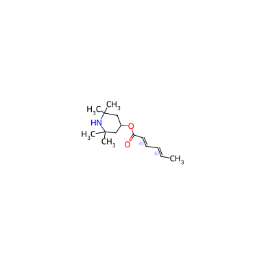 C/C=C/C=C/C(=O)OC1CC(C)(C)NC(C)(C)C1